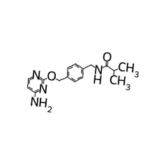 CC(C)C(=O)NCc1ccc(COc2nccc(N)n2)cc1